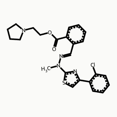 CN(/N=C/c1ccccc1C(=O)OCCN1CCCC1)c1nc(-c2ccccc2Cl)cs1